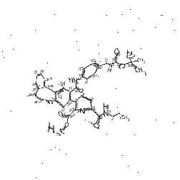 CCCNC(=O)c1ccc(-c2cc3c(cc2C(=O)Nc2ccc(CNC(=O)OC(C)(C)C)cc2)-c2ccccc2CCO3)c(C(=O)OC)n1